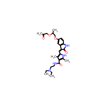 CCN(CC)CCNC(=O)c1c(C)[nH]c(/C=C2\C(=O)Nc3ccc(OCC(C)OCC(C)=O)cc32)c1C